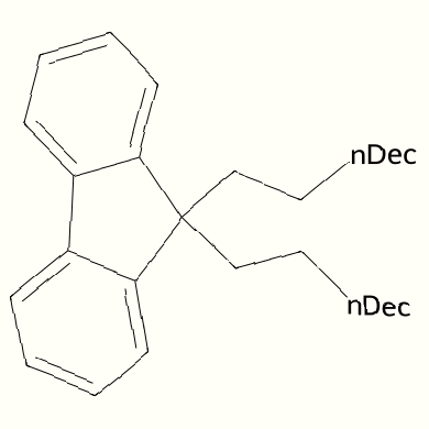 CCCCCCCCCCCCC1(CCCCCCCCCCCC)c2ccccc2-c2ccccc21